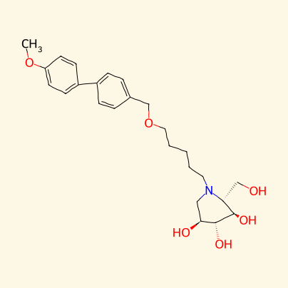 COc1ccc(-c2ccc(COCCCCCN3C[C@H](O)[C@@H](O)[C@H](O)[C@H]3CO)cc2)cc1